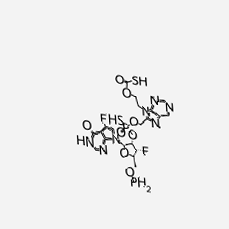 O=C(S)OCCn1c(COP(=O)(S)O[C@@H]2[C@H](F)[C@@H](COP)O[C@H]2n2cc(F)c3c(=O)[nH]cnc32)nc2cncnc21